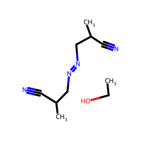 CC(C#N)CN=NCC(C)C#N.CCO